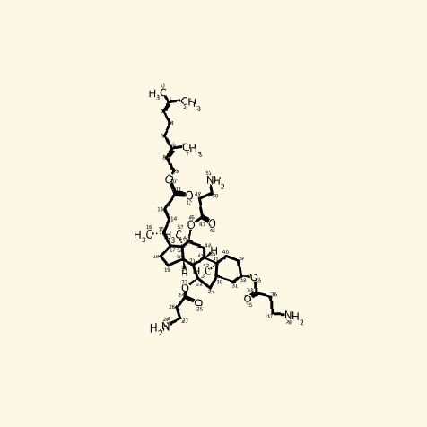 CC(C)=CCC/C(C)=C/COC(=O)CC[C@@H](C)C1CC[C@H]2C3[C@H](OC(=O)CCN)CC4C[C@H](OC(=O)CCN)CC[C@]4(C)[C@H]3C[C@H](OC(=O)CCN)[C@]12C